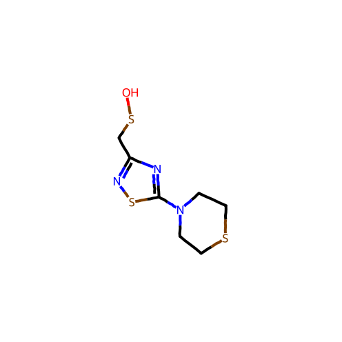 OSCc1nsc(N2CCSCC2)n1